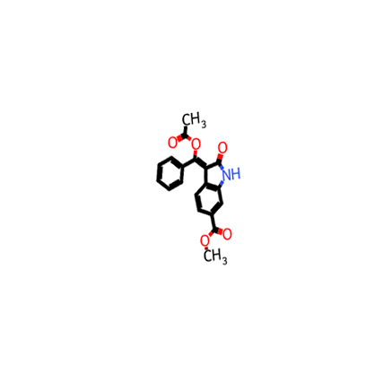 COC(=O)c1ccc2c(c1)NC(=O)/C2=C(\OC(C)=O)c1ccccc1